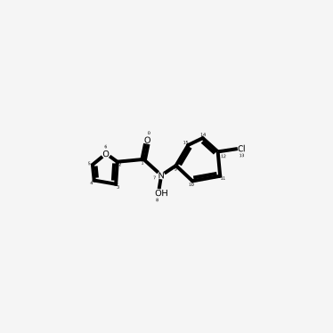 O=C(c1ccco1)N(O)c1ccc(Cl)cc1